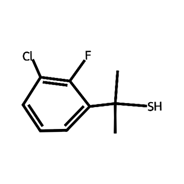 CC(C)(S)c1cccc(Cl)c1F